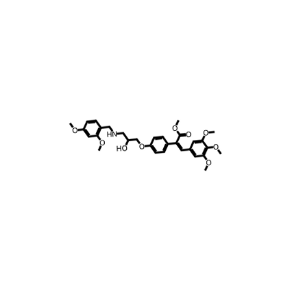 COC(=O)C(=Cc1cc(OC)c(OC)c(OC)c1)c1ccc(OCC(O)CNCc2ccc(OC)cc2OC)cc1